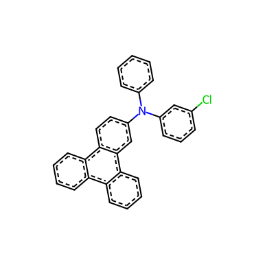 Clc1cccc(N(c2ccccc2)c2ccc3c4ccccc4c4ccccc4c3c2)c1